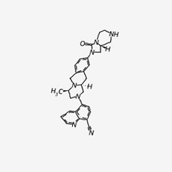 C[C@@H]1CN(c2ccc(C#N)c3ncccc23)C[C@@H]2Cc3cc(N4C[C@H]5CNCCN5C4=O)ccc3CN21